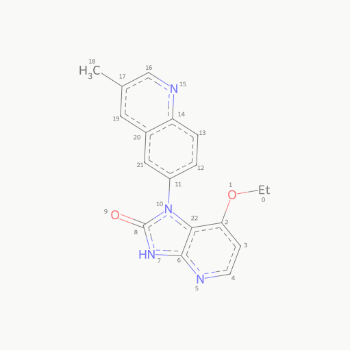 CCOc1ccnc2[nH]c(=O)n(-c3ccc4ncc(C)cc4c3)c12